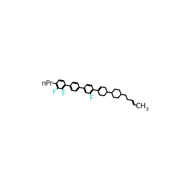 C/C=C/CCC1CCC(C2CC=C(c3ccc(-c4ccc(-c5ccc(CCC)c(F)c5F)cc4)cc3F)CC2)CC1